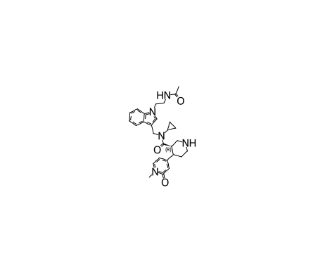 CC(=O)NCCn1cc(CN(C(=O)[C@H]2CNCCC2c2ccn(C)c(=O)c2)C2CC2)c2ccccc21